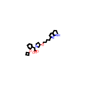 O=C(O)[C@H](c1ccccc1OC1CCC1)N1CC[C@@H](OCCCCc2ccc3c(n2)NCCC3)C1